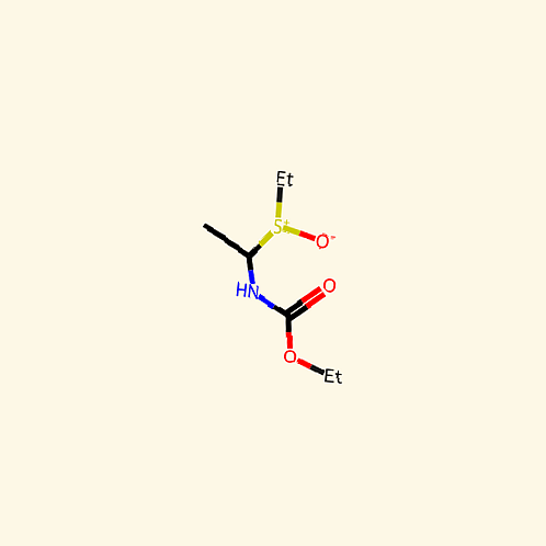 CCOC(=O)NC(C)[S+]([O-])CC